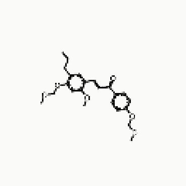 CCCc1cc(/C=C/C(=O)c2ccc(OCOC)cc2)c(OC)cc1OCOC